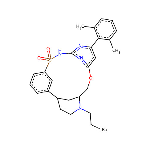 Cc1cccc(C)c1-c1cc2nc(n1)NS(=O)(=O)c1cccc(c1)C1CCN(CCC(C)(C)C)C(CO2)C1